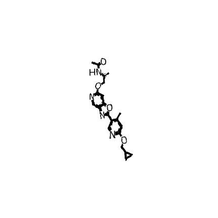 CC(=O)N[C@@H](C)COc1cc2oc(-c3cnc(OCC4CC4)cc3C)nc2cn1